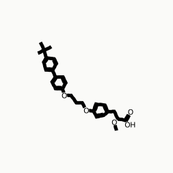 COC(Cc1ccc(OCCCOc2ccc(-c3ccc(C(C)(C)C)cc3)cc2)cc1)C(=O)O